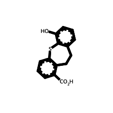 O=C(O)c1cccc2c1CCc1cccc(O)c1S2